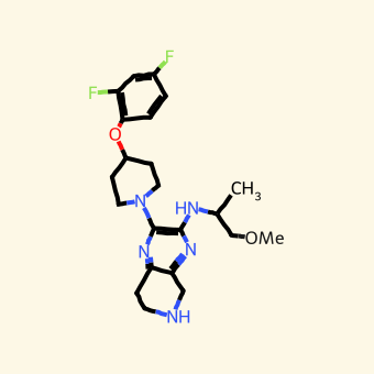 COCC(C)Nc1nc2c(nc1N1CCC(Oc3ccc(F)cc3F)CC1)CCNC2